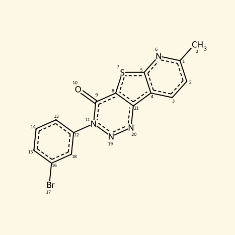 Cc1ccc2c(n1)sc1c(=O)n(-c3cccc(Br)c3)nnc12